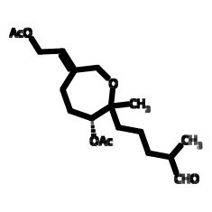 CC(=O)OC/C=C1\CC[C@@H](OC(C)=O)C(C)(CCCC(C)C=O)OC1